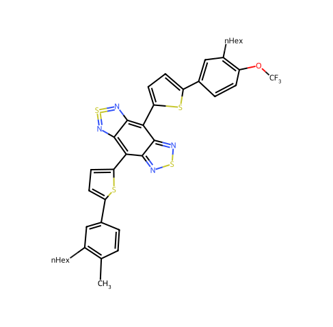 CCCCCCc1cc(-c2ccc(-c3c4c(c(-c5ccc(-c6ccc(OC(F)(F)F)c(CCCCCC)c6)s5)c5nsnc35)N=S=N4)s2)ccc1C